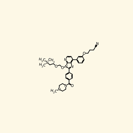 CN1CCN(C(=O)c2ccc(-c3nc4c(-c5cccc(OCCCC#N)c5)ccnc4n3OCOCC[Si](C)(C)C)cc2)CC1